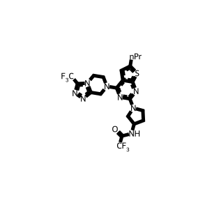 CCCc1cc2c(N3CCn4c(nnc4C(F)(F)F)C3)nc(N3CCC(NC(=O)C(F)(F)F)C3)nc2s1